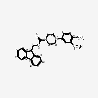 O=C(O)c1cc(N2CCN(C(=O)OCC3c4ccccc4-c4ccccc43)CC2)ccc1[N+](=O)[O-]